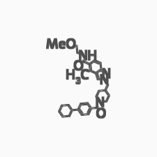 COCCNC(=O)c1ccc2nn(CC3CCN(C(=O)c4ccc(C5CCCCC5)cc4)CC3)cc2c1C